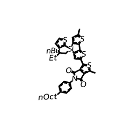 CCCCCCCCc1ccc(N2C(=O)c3c(C)sc(-c4cc5c(s4)-c4sc(C)cc4[Si]5(CC(CC)CCCC)c4cccs4)c3C2=O)cc1